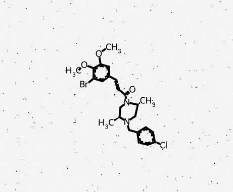 COc1cc(/C=C/C(=O)N2C[C@H](C)N(Cc3ccc(Cl)cc3)C[C@H]2C)cc(Br)c1OC